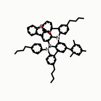 CCCCc1ccc(N2B3c4cc5c(cc4N(c4ccc(CCCC)cc4-c4ccccc4)c4cc(-c6c(C)cc(C)cc6C)cc(c43)-c3cc(CCCC)ccc32)oc2ccccc25)cc1